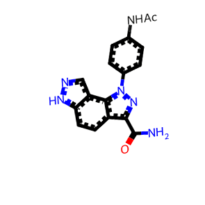 CC(=O)Nc1ccc(-n2nc(C(N)=O)c3ccc4[nH]ncc4c32)cc1